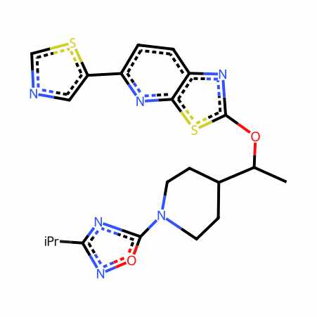 CC(C)c1noc(N2CCC(C(C)Oc3nc4ccc(-c5cncs5)nc4s3)CC2)n1